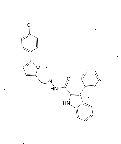 O=C(NN=Cc1ccc(-c2ccc(Cl)cc2)o1)c1[nH]c2ccccc2c1-c1ccccc1